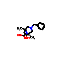 CC12CC(O)[C@](C)(CN(Cc3ccccc3)C1)N2C(=O)O